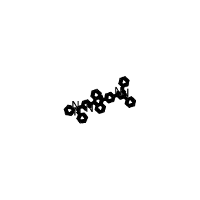 CC12C=CC=CC1C(c1ccc(-c3nc4ccccc4n3-c3ccccc3)cn1)=c1ccccc1=C2c1ccc(-c2cc(-c3ccccc3)nc(-c3ccccc3)n2)cc1